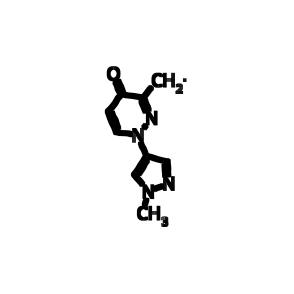 [CH2]c1nn(-c2cnn(C)c2)ccc1=O